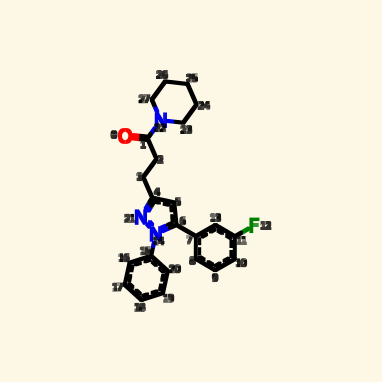 O=C(CCc1cc(-c2cccc(F)c2)n(-c2ccccc2)n1)N1CCCCC1